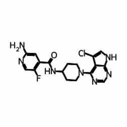 Nc1cc(C(=O)NC2CCN(c3ncnc4[nH]cc(Cl)c34)CC2)c(F)cn1